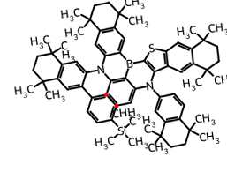 Cc1cc2c3c(c1)N(c1ccc4c(c1)C(C)(C)CCC4(C)C)c1c(sc4cc5c(cc14)C(C)(C)CCC5(C)C)B3c1cc3c(cc1N2c1cc2c(cc1-c1ccc([Si](C)(C)C)cc1)C(C)(C)CCC2(C)C)C(C)(C)CCC3(C)C